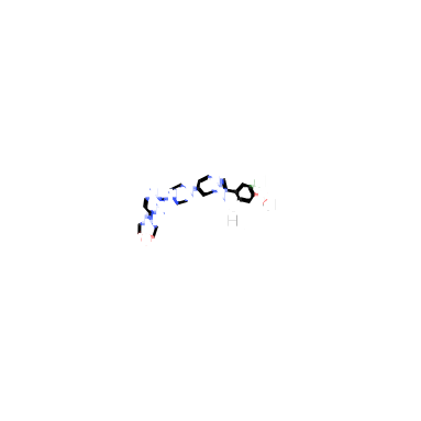 COc1cc(C)c(-c2cn3ccc(N4CCN(c5nccc(N6CCOCC6)n5)CC4)cc3n2)cc1Cl